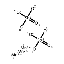 [Mn+2].[Mn+2].[Mn+2].[O]=[Sb]([O-])([O-])[O-].[O]=[Sb]([O-])([O-])[O-]